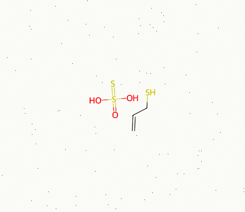 C=CCS.O=S(O)(O)=S